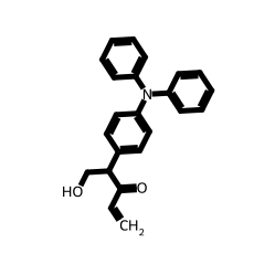 C=CC(=O)C(CO)c1ccc(N(c2ccccc2)c2ccccc2)cc1